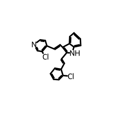 Clc1ccccc1/C=C/c1[nH]c2ccccc2c1/C=C/c1ccncc1Cl